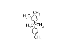 Cc1ccc([Si](C)(C)c2ccc(C)c(C)c2)cc1